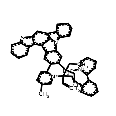 C=CC1(CC)[n+]2cc(C)ccc2-c2cc3c4c5c(cc6c7ccccc7n(c3cc2C1(CC)CCc1ccccc1-c1cccc[n+]1C)c64)sc1ccccc15